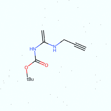 C#CCNC(=C)NC(=O)OC(C)(C)C